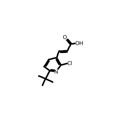 CC(C)(C)c1ccc(C=CC(=O)O)c(Cl)n1